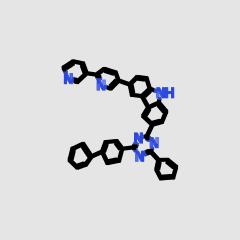 c1ccc(-c2ccc(-c3nc(-c4ccccc4)nc(-c4ccc5[nH]c6ccc(-c7ccc(-c8cccnc8)nc7)cc6c5c4)n3)cc2)cc1